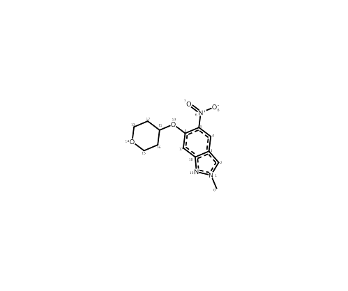 Cn1cc2cc([N+](=O)[O-])c(OC3CCOCC3)cc2n1